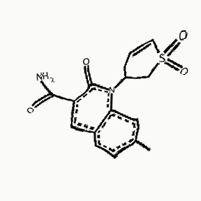 Cc1ccc2cc(C(N)=O)c(=O)n(C3C=CS(=O)(=O)C3)c2c1